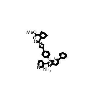 COC(=O)c1ccccc1C(=O)N1CC(c2ccc(-n3c(-c4cccnc4N)nc4ccc(-c5ccccc5)nc43)cc2)C1